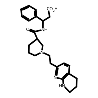 O=C(O)CC(NC(=O)C1CCCN(CCc2ccc3c(n2)NCCC3)C1)c1ccccc1